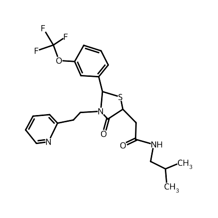 CC(C)CNC(=O)CC1SC(c2cccc(OC(F)(F)F)c2)N(CCc2ccccn2)C1=O